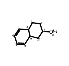 O[C@@H]1CCC2C=CC=CC2C1